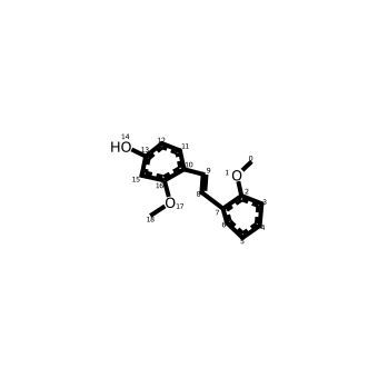 COc1ccccc1/C=C/c1ccc(O)cc1OC